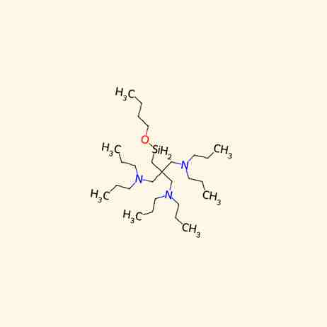 CCCCO[SiH2]CC(CN(CCC)CCC)(CN(CCC)CCC)CN(CCC)CCC